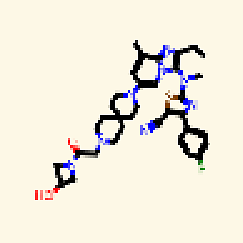 CCc1nc2c(C)cc(N3CCC4(CCN(CC(=O)N5CC(O)C5)CC4)CC3)cn2c1N(C)c1nc(-c2ccc(F)cc2)c(C#N)s1